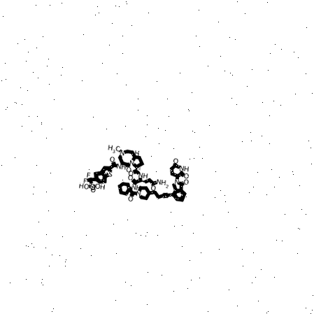 CN1CC[C@H]2CC[C@@H](C(=O)N[C@@H](CCC(N)=O)C(=O)NC3(C(=O)N4CCC(CCC#Cc5cccc6c5CN(C5CCC(=O)NC5=O)C6=O)CC4)CCCCC3)N2C(=O)[C@@H](NC(=O)c2cc3cc(C(F)(F)P(=O)(O)O)ccc3s2)C1